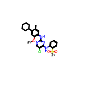 Cc1cc(Nc2ncc(Cl)c(Nc3ccccc3S(=O)(=O)C(C)C)n2)c(OC(C)C)cc1C1CCCCC1